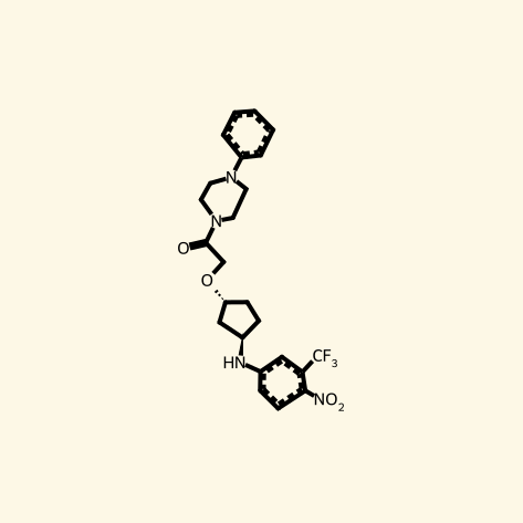 O=C(CO[C@@H]1CC[C@@H](Nc2ccc([N+](=O)[O-])c(C(F)(F)F)c2)C1)N1CCN(c2ccccc2)CC1